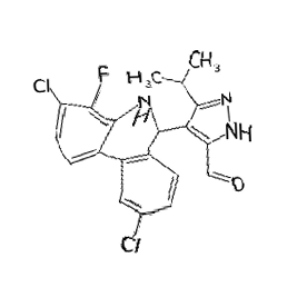 CC(C)c1n[nH]c(C=O)c1C1Nc2c(ccc(Cl)c2F)-c2cc(Cl)ccc21